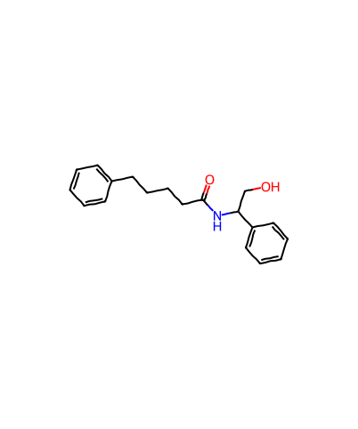 O=C(CCCCc1ccccc1)NC(CO)c1ccccc1